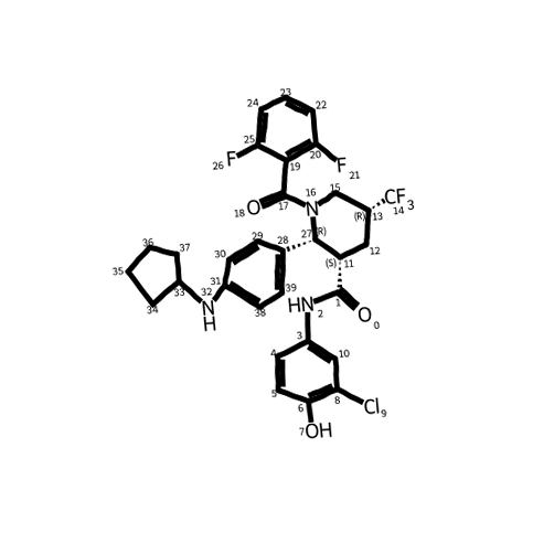 O=C(Nc1ccc(O)c(Cl)c1)[C@H]1C[C@@H](C(F)(F)F)CN(C(=O)c2c(F)cccc2F)[C@H]1c1ccc(NC2CCCC2)cc1